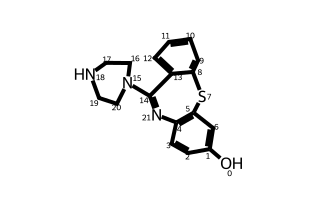 Oc1ccc2c(c1)Sc1ccccc1C(N1CCNCC1)=N2